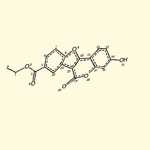 CCOC(=O)c1ccc2oc3c4ccc(O)cc4oc(=O)c3c2c1